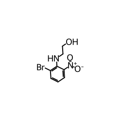 O=[N+]([O-])c1cccc(Br)c1NCCO